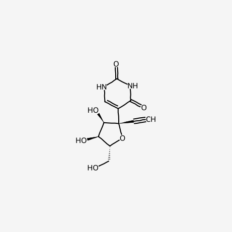 C#C[C@@]1(c2c[nH]c(=O)[nH]c2=O)O[C@H](CO)[C@@H](O)[C@H]1O